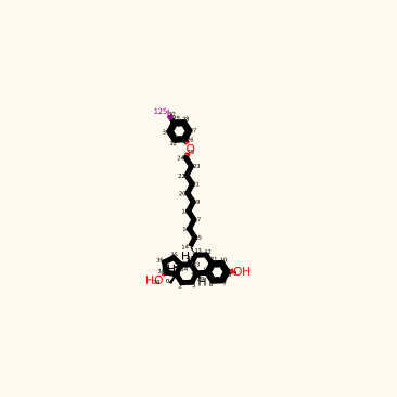 C[C@]12CC[C@@H]3c4ccc(O)cc4C[C@@H](CCCCCCCCCCCOc4ccc([125I])cc4)[C@H]3[C@@H]1CC[C@@H]2O